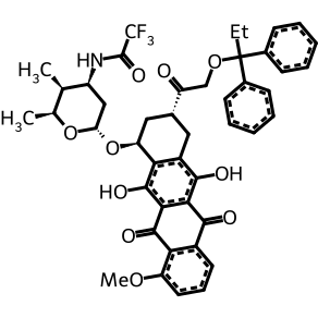 CCC(OCC(=O)[C@@H]1Cc2c(O)c3c(c(O)c2[C@@H](O[C@H]2C[C@H](NC(=O)C(F)(F)F)[C@H](C)[C@H](C)O2)C1)C(=O)c1c(OC)cccc1C3=O)(c1ccccc1)c1ccccc1